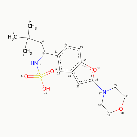 CC(C)(C)CC(NS(=O)(=O)O)c1ccc2oc(N3CCOCC3)cc2c1